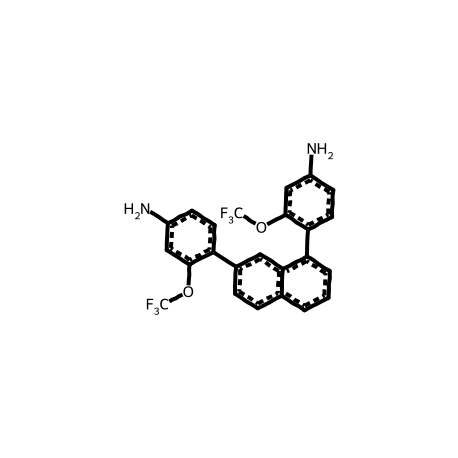 Nc1ccc(-c2ccc3cccc(-c4ccc(N)cc4OC(F)(F)F)c3c2)c(OC(F)(F)F)c1